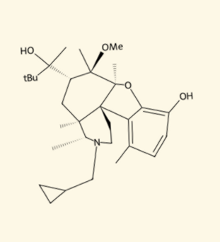 CO[C@]1(C)[C@@H](C(C)(O)C(C)(C)C)C[C@]2(C)[C@@H](C)N(CC3CC3)CC[C@@]23c2c(C)ccc(O)c2O[C@@]31C